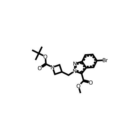 COC(=O)c1c2cc(Br)ccc2nn1CC1CN(C(=O)OC(C)(C)C)C1